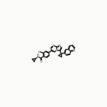 O=C(NC1CC1)c1ccc(-c2cnc3ncc(C4(c5ccc6ncccc6c5)CC4)n3c2)cc1Cl